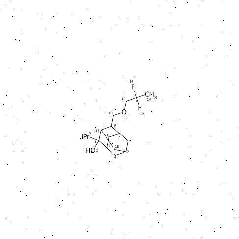 CC(C)C1(O)C2CC3CC(C2)C(COCC(C)(F)F)C1C3